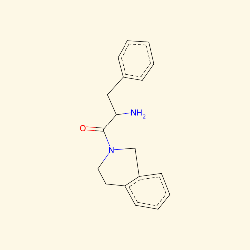 NC(Cc1ccccc1)C(=O)N1CCc2ccccc2C1